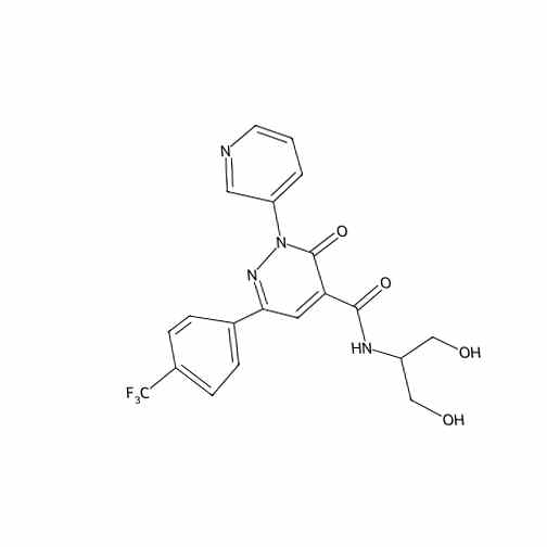 O=C(NC(CO)CO)c1cc(-c2ccc(C(F)(F)F)cc2)nn(-c2cccnc2)c1=O